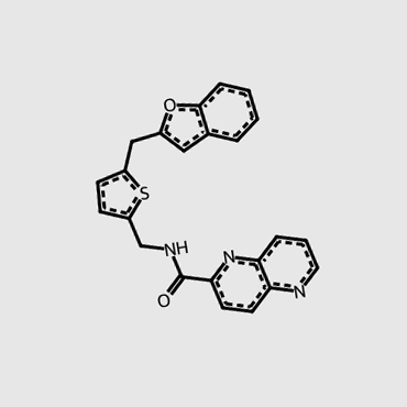 O=C(NCc1ccc(Cc2cc3ccccc3o2)s1)c1ccc2ncccc2n1